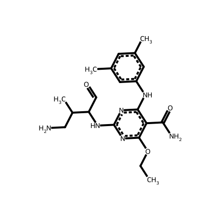 CCOc1nc(NC(C=O)C(C)CN)nc(Nc2cc(C)cc(C)c2)c1C(N)=O